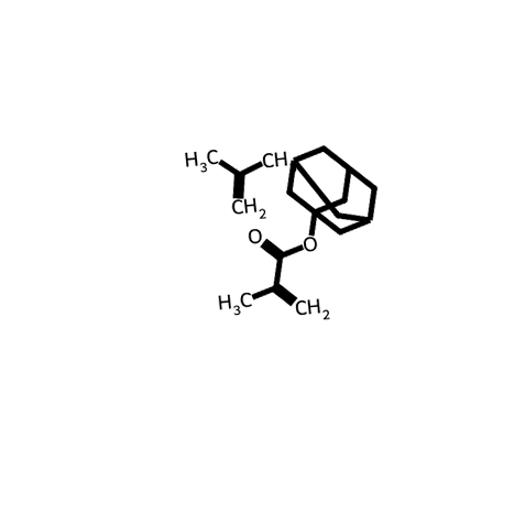 C=C(C)C.C=C(C)C(=O)OC12CC3CC(CC(C3)C1)C2